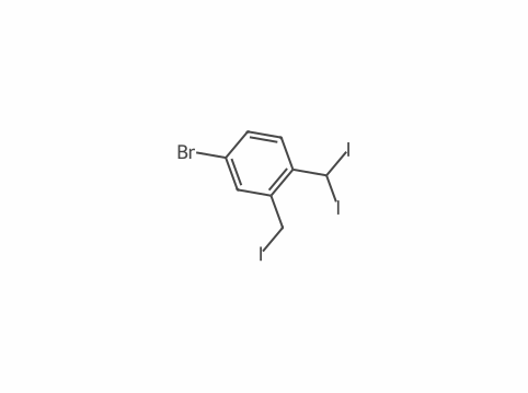 Brc1ccc(C(I)I)c(CI)c1